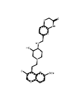 COc1ccc2ncc(Cl)c(CCN3CCC(NCc4ccc5c(n4)NC(=O)CO5)C(O)C3)c2n1